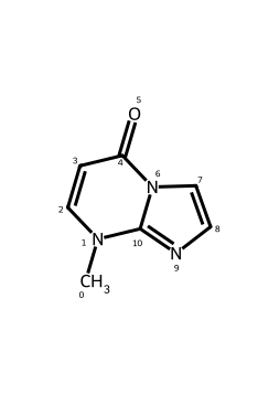 Cn1ccc(=O)n2ccnc12